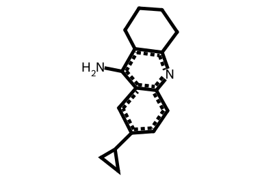 Nc1c2c(nc3ccc(C4CC4)cc13)CCCC2